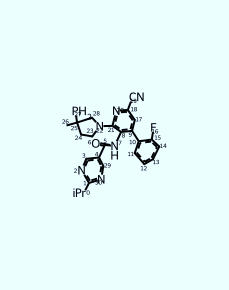 CC(C)c1ncc(C(=O)Nc2c(-c3ccccc3F)cc(C#N)nc2N2CCC(C)(P)C2)cn1